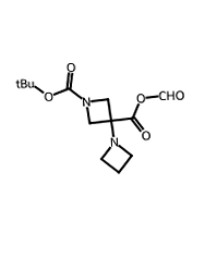 CC(C)(C)OC(=O)N1CC(C(=O)OC=O)(N2CCC2)C1